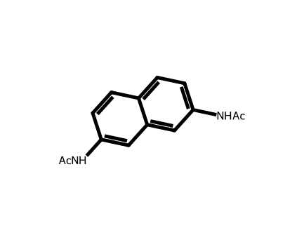 CC(=O)Nc1ccc2ccc(NC(C)=O)cc2c1